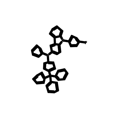 Fc1ccc(-n2c3ccccc3c3cc(N(c4ccccc4)c4ccc(C(c5ccccc5)(c5ccccc5)c5ccccc5)cc4)ccc32)cc1